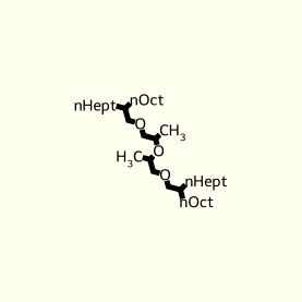 CCCCCCCCC(CCCCCCC)COCC(C)OC(C)COCC(CCCCCCC)CCCCCCCC